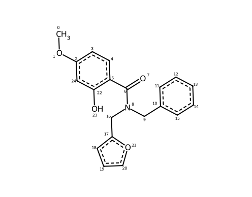 COc1ccc(C(=O)N(Cc2ccccc2)Cc2ccco2)c(O)c1